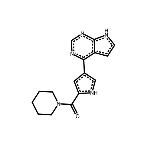 O=C(c1cc(-c2ncnc3[nH]ccc23)c[nH]1)N1CCCCC1